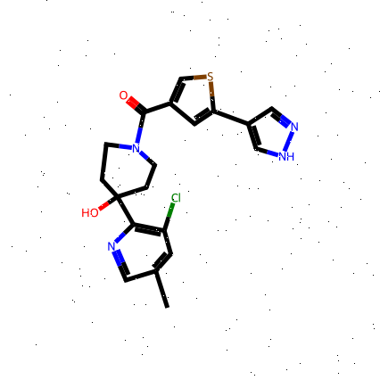 Cc1cnc(C2(O)CCN(C(=O)c3csc(-c4cn[nH]c4)c3)CC2)c(Cl)c1